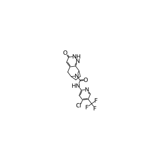 O=C(Nc1cc(Cl)c(C(F)(F)F)cn1)N1C2CCC1c1n[nH]c(=O)cc1C2